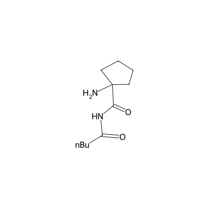 CCCCC(=O)NC(=O)C1(N)CCCC1